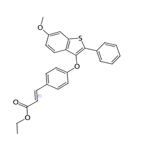 CCOC(=O)/C=C/c1ccc(Oc2c(-c3ccccc3)sc3cc(OC)ccc23)cc1